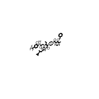 CCc1c(N2CCN(C(=O)c3ncnc(C)c3OCc3ccccc3)CC2)c(=O)n2nc(/C=C(\C)C3CC3)nc2n1CC(=O)Nc1ccc(C(F)(F)F)cc1Cl